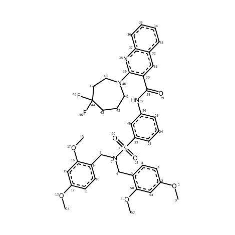 COc1ccc(CN(Cc2ccc(OC)cc2OC)S(=O)(=O)c2cccc(NC(=O)c3cc4ccccc4nc3N3CCCC(F)(F)CC3)c2)c(OC)c1